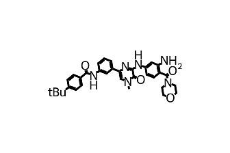 Cn1cc(-c2cccc(NC(=O)c3ccc(C(C)(C)C)cc3)c2)nc(Nc2ccc(C(=O)N3CCOCC3)c(N)c2)c1=O